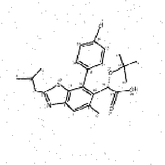 Cc1cc2nc(CC(C)C)sc2c(-c2ccc(Cl)cc2)c1[C@H](OC(C)(C)C)C(=O)O